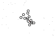 c1ccc(-c2ccccc2-c2ccc(N(c3ccc(-c4ccccc4-n4c5ccccc5c5ccccc54)cc3)c3cccc(-c4ccc5ccccc5c4)c3)cc2)cc1